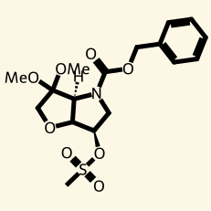 COC1(OC)COC2[C@@H]1N(C(=O)OCc1ccccc1)C[C@H]2OS(C)(=O)=O